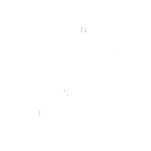 Cc1cc2ccnc(Cl)c2n1CC(C)C